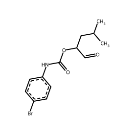 CC(C)CC(C=O)OC(=O)Nc1ccc(Br)cc1